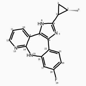 C[C@H]1CC1c1nc2c([nH]1)-c1cccnc1Nc1cc(F)ccc1-2